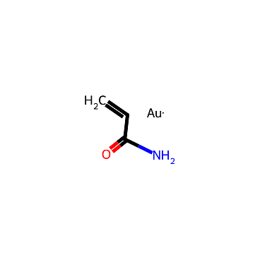 C=CC(N)=O.[Au]